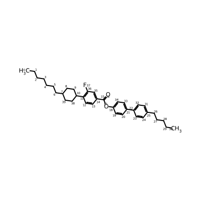 CCCCCCCC1CCC(c2ccc(C(=O)Oc3ccc(-c4ccc(CCCCC)cc4)cc3)cc2F)CC1